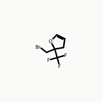 FC(F)(F)C1(CBr)CC=CO1